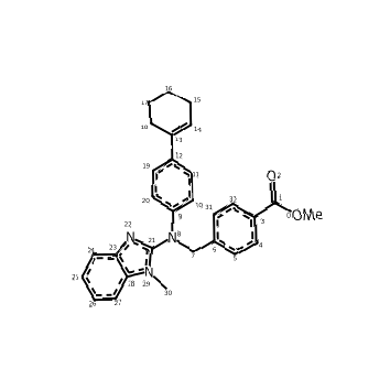 COC(=O)c1ccc(CN(c2ccc(C3=CCCCC3)cc2)c2nc3ccccc3n2C)cc1